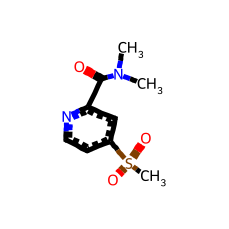 CN(C)C(=O)c1cc(S(C)(=O)=O)ccn1